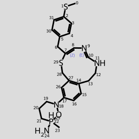 CSc1ccc(C/C2=C/N=C/NCCc3ccc(N4CCC[PH](C)(N)O4)cc3CS2)cc1